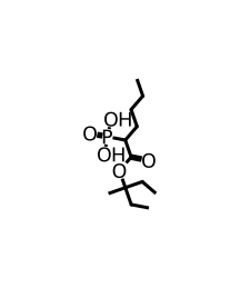 CCCCC(C(=O)OC(C)(CC)CC)P(=O)(O)O